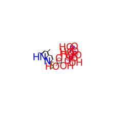 Cc1cc(C)c2cc([C@@H]3O[C@H](COP(=O)(O)OP(=O)(O)OP(=O)(O)O)[C@H](O)C3O)c(=S)nc-2[nH]1